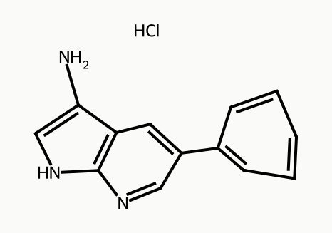 Cl.Nc1c[nH]c2ncc(-c3ccccc3)cc12